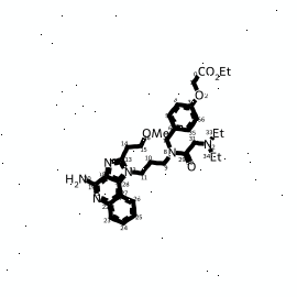 CCOC(=O)COc1ccc(CN(CCCn2c(CCOC)nc3c(N)nc4ccccc4c32)C(=O)CN(CC)CC)cc1